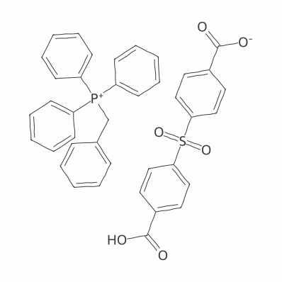 O=C([O-])c1ccc(S(=O)(=O)c2ccc(C(=O)O)cc2)cc1.c1ccc(C[P+](c2ccccc2)(c2ccccc2)c2ccccc2)cc1